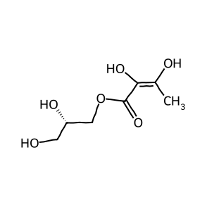 C/C(O)=C(/O)C(=O)OC[C@@H](O)CO